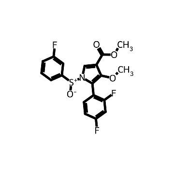 COC(=O)c1cn([S+]([O-])c2cccc(F)c2)c(-c2ccc(F)cc2F)c1OC